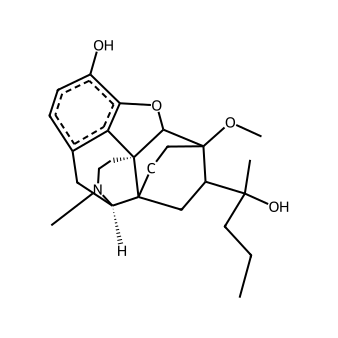 CCCC(C)(O)C1CC23CCC1(OC)C1Oc4c(O)ccc5c4[C@@]12CCN(C)[C@@H]3C5